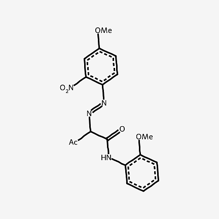 COc1ccc(N=NC(C(C)=O)C(=O)Nc2ccccc2OC)c([N+](=O)[O-])c1